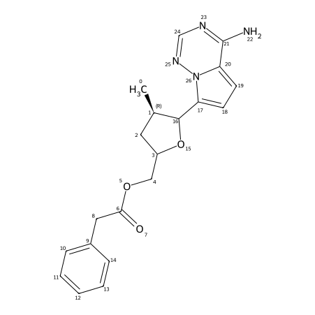 C[C@@H]1CC(COC(=O)Cc2ccccc2)OC1c1ccc2c(N)ncnn12